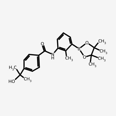 Cc1c(NC(=O)c2ccc(C(C)(C)O)cc2)cccc1B1OC(C)(C)C(C)(C)O1